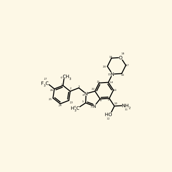 Cc1c(Cn2c(C)nc3c(C(N)O)cc(N4CCOCC4)cc32)cccc1C(F)(F)F